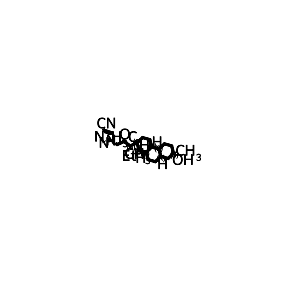 CC[C@H]1[C@@H]2CC[C@@H]3C[C@](C)(O)CC[C@@H]3[C@H]2CC[C@]1(C)[C@H](C)C(=O)Cn1cc(C#N)nn1